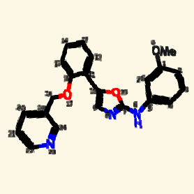 COc1cccc(Nc2ncc(-c3ccccc3OCc3cccnc3)o2)c1